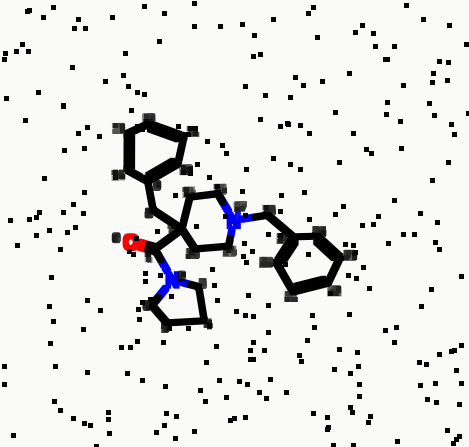 O=C(N1CCCC1)C1(Cc2ccccc2)CCN(Cc2ccccc2)CC1